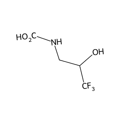 O=C(O)NCC(O)C(F)(F)F